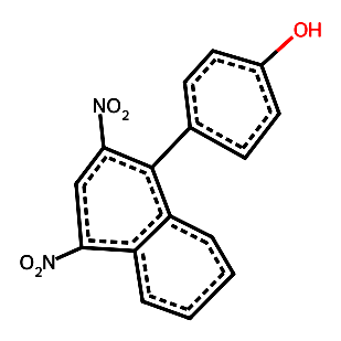 O=[N+]([O-])c1cc([N+](=O)[O-])c2ccccc2c1-c1ccc(O)cc1